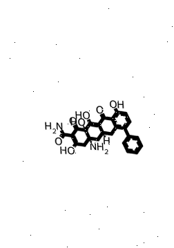 NC(=O)C1=C(O)C[C@]2(N)C[C@@H]3Cc4c(-c5ccccc5)ccc(O)c4C(=O)C3=C(O)[C@]2(O)C1=O